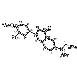 CCC[C@@H](C)CN(CCC)c1ccc2cc(-c3ccc(OC)c(CC)c3)cc(=O)n2c1